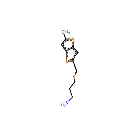 Cc1cc2sc(CSCCCN)cc2s1